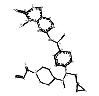 C=CC(=O)N1CCC(N(C)C(CC2CC2)c2ccc([C@H](C)Nc3ncc4cnc(=O)n(C(C)C)c4n3)cc2)CC1